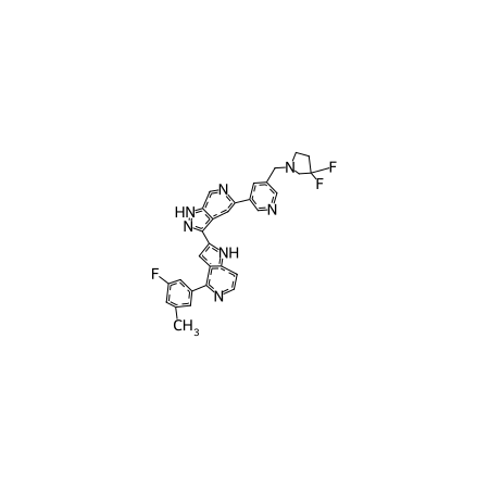 Cc1cc(F)cc(-c2nccc3[nH]c(-c4n[nH]c5cnc(-c6cncc(CN7CCC(F)(F)C7)c6)cc45)cc23)c1